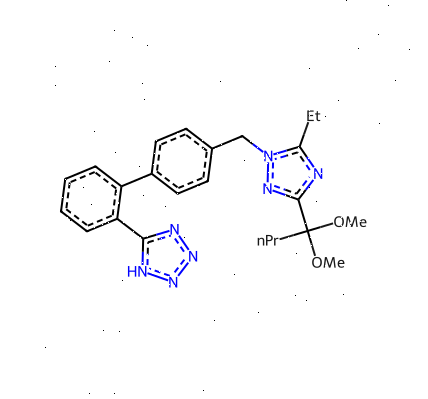 CCCC(OC)(OC)c1nc(CC)n(Cc2ccc(-c3ccccc3-c3nnn[nH]3)cc2)n1